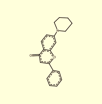 O=c1cc(-c2ccccc2)oc2cc(N3CCCCC3)ccc12